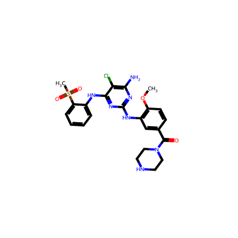 COc1ccc(C(=O)N2CCNCC2)cc1Nc1nc(N)c(Cl)c(Nc2ccccc2S(C)(=O)=O)n1